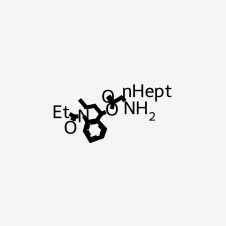 CCCCCCCC(N)C(=O)OC1CC(C)N(C(=O)CC)c2ccccc21